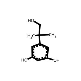 CC(C)(CO)c1cc(O)cc(O)c1